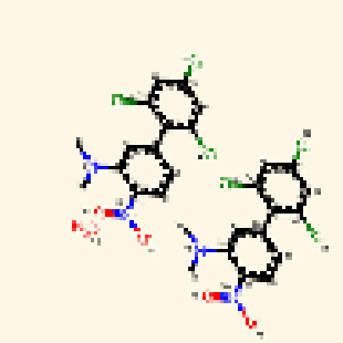 CN(C)c1cc(-c2c(Cl)cc(Cl)cc2Cl)ccc1[N+](=O)[O-].CN(C)c1cc(-c2c(Cl)cc(Cl)cc2Cl)ccc1[N+](=O)[O-].O